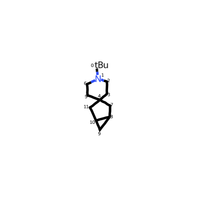 CC(C)(C)N1CCC2(CC1)CC1CC1C2